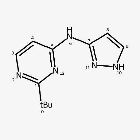 CC(C)(C)c1nccc(Nc2cc[nH]n2)n1